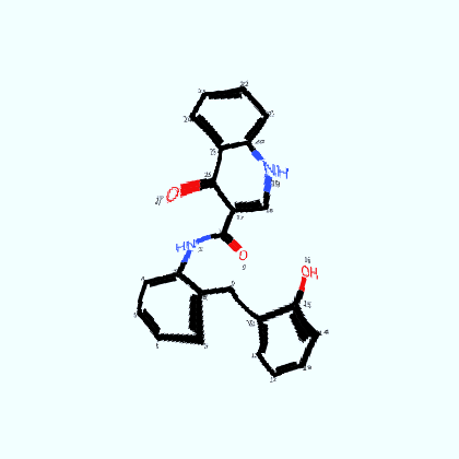 O=C(Nc1ccccc1Cc1ccccc1O)c1c[nH]c2ccccc2c1=O